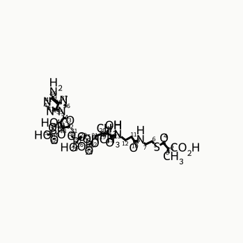 C[C@@H](C(=O)O)C(=O)SCCNC(=O)CCNC(=O)C(O)C(C)(C)COP(=O)(O)OP(=O)(O)OC[C@H]1O[C@@H](n2cnc3c(N)ncnc32)[C@H](O)[C@@H]1OP(=O)(O)O